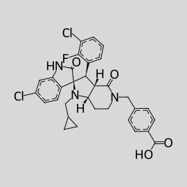 O=C(O)c1ccc(CN2CC[C@H]3[C@@H](C2=O)[C@H](c2cccc(Cl)c2F)[C@]2(C(=O)Nc4cc(Cl)ccc42)N3CC2CC2)cc1